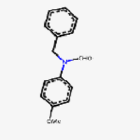 COc1ccc(N([C]=O)Cc2ccccc2)cc1